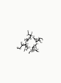 CC[C@@H](C)[C@@H]1CN[C@H]([C@H](C)CC)CN[C@H]([C@H](C)CC)CN[C@H]([C@H](C)CC)CN1